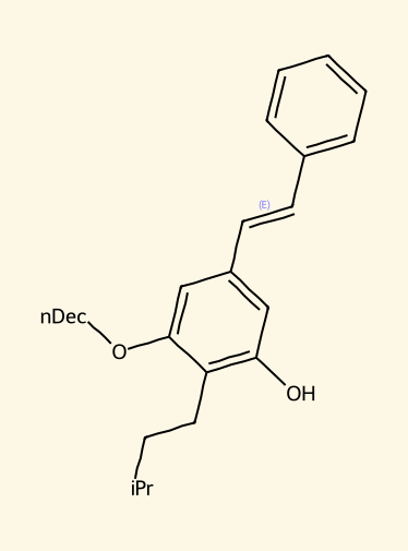 CCCCCCCCCCOc1cc(/C=C/c2ccccc2)cc(O)c1CCC(C)C